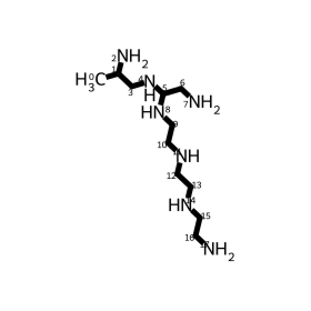 CC(N)CNC(CN)NCCNCCNCCN